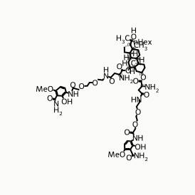 CCCCCC[C@](C)(O)[C@H]1CC[C@H]2[C@@H]3C[C@H](OC(=O)[C@@H](N)CC(=O)NCCOCCOCC(=O)Nc4ccc(OC)c(C(N)=O)c4O)[C@H]4C[C@@H](OC(=O)[C@@H](N)CC(=O)NCCOCCOCC(=O)Nc5ccc(OC)c(C(N)=O)c5O)CC[C@]4(C)[C@H]3CC[C@@]21C